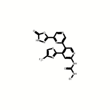 CCNC(=O)Nc1cc(-c2nc(C(F)(F)F)cs2)c(-c2cncc(-c3n[nH]c(=O)o3)n2)cn1